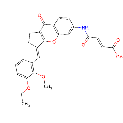 CCOc1cccc(C=C2CCc3c2oc2cc(NC(=O)/C=C/C(=O)O)ccc2c3=O)c1OC